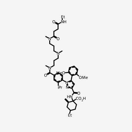 C=C1CC(CC)CCC1(NC(=O)c1cc(-c2c(OC)cccc2OC)n(-c2ccc(C(=O)N(C)CCCN(C)CCCN(C)C(=O)CCC(=O)NCC)cc2C(C)C)n1)C(=O)O